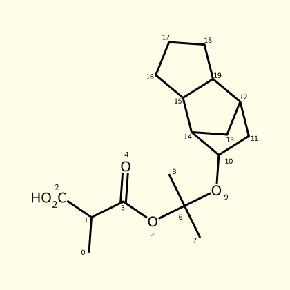 CC(C(=O)O)C(=O)OC(C)(C)OC1CC2CC1C1CCCC21